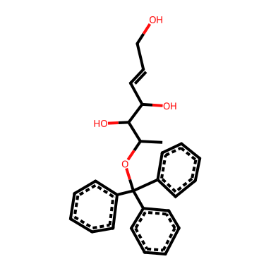 CC(OC(c1ccccc1)(c1ccccc1)c1ccccc1)C(O)C(O)C=CCO